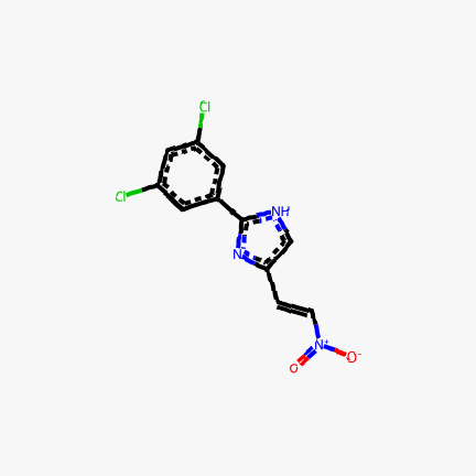 O=[N+]([O-])/C=C/c1c[nH]c(-c2cc(Cl)cc(Cl)c2)n1